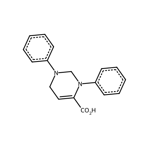 O=C(O)C1=CCN(c2ccccc2)CN1c1ccccc1